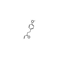 C=CC(=O)CCc1ccc(OC)cc1